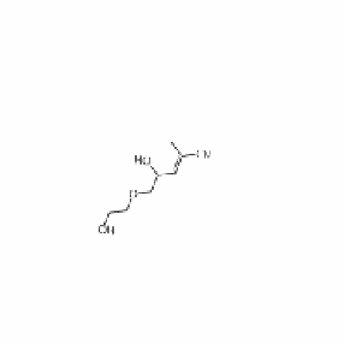 CC(C#N)=CC(O)COCCO